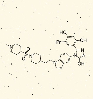 CC(C)c1cc(-c2nnc(O)n2-c2ccc3c(ccn3CCC3CCN(S(=O)(=O)C4CCN(C)CC4)CC3)c2)c(O)cc1O